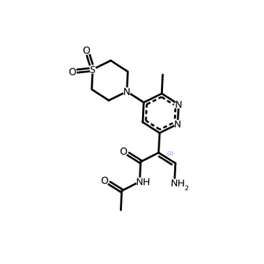 CC(=O)NC(=O)/C(=C\N)c1cc(N2CCS(=O)(=O)CC2)c(C)nn1